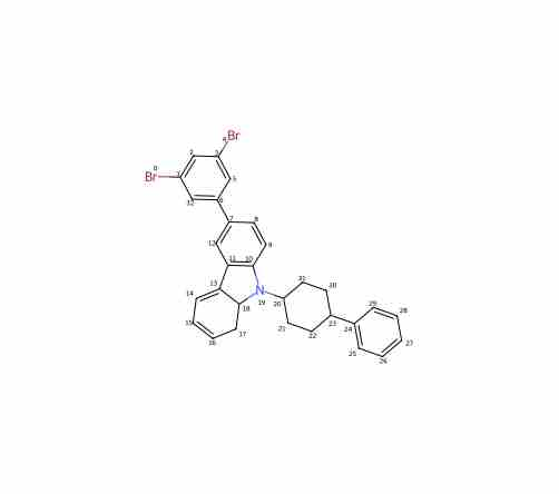 Brc1cc(Br)cc(-c2ccc3c(c2)C2=CC=CCC2N3C2CCC(c3ccccc3)CC2)c1